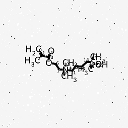 C=C(C)C(=O)OCC[N+](C)(C)CCCC[Si](C)(C)O